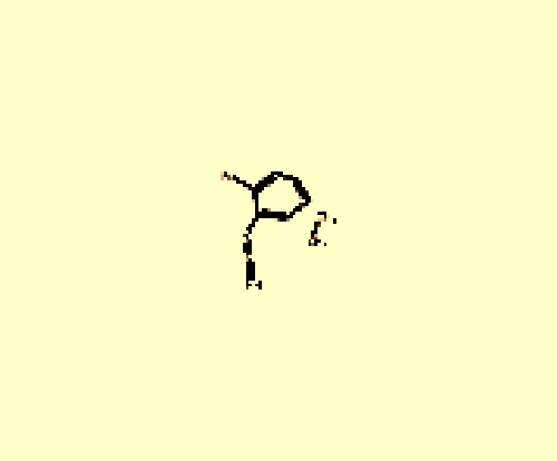 CC.CC(C)c1ccccc1N=C=N